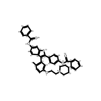 Cc1ccc(OCCN2CCCCC2)cc1-c1c(-c2ccc(OC(=O)c3ccccc3)cc2)sc2cc(OC(=O)c3ccccc3)ccc12